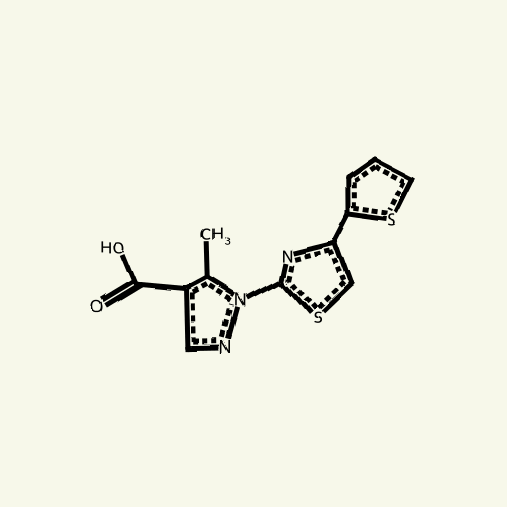 Cc1c(C(=O)O)cnn1-c1nc(-c2cccs2)cs1